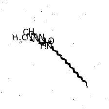 CC(C)N1CCN(c2ccc(C(=O)NCCCCCCCCCCCCCCCCCI)cn2)CC1